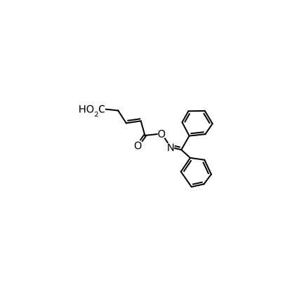 O=C(O)CC=CC(=O)ON=C(c1ccccc1)c1ccccc1